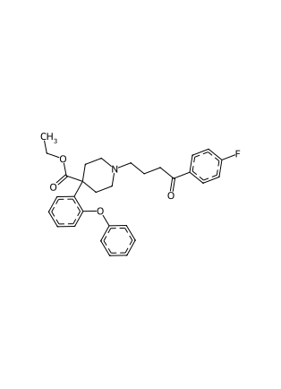 CCOC(=O)C1(c2ccccc2Oc2ccccc2)CCN(CCCC(=O)c2ccc(F)cc2)CC1